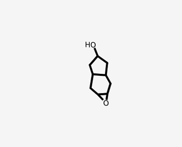 OC1CC2CC3OC3CC2C1